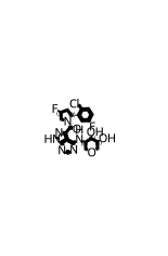 O=C(c1n[nH]c2ncnc(N[C@@H]3COC[C@@H](O)[C@H]3O)c12)N1C[C@@H](F)C[C@@H]1c1cc(F)ccc1Cl